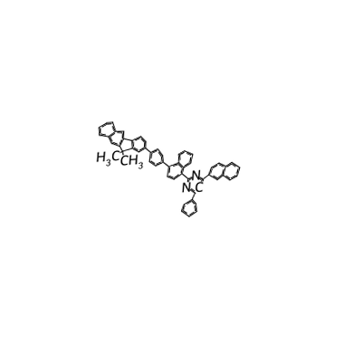 CC1(C)c2cc(-c3ccc(-c4ccc(-c5nc(-c6ccccc6)cc(-c6ccc7ccccc7c6)n5)c5ccccc45)cc3)ccc2-c2cc3ccccc3cc21